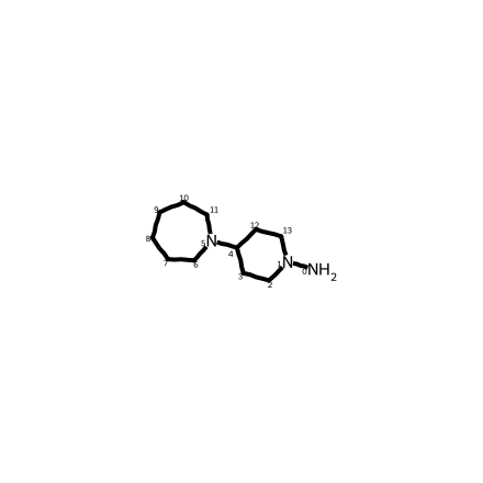 NN1CCC(N2CCCCCC2)CC1